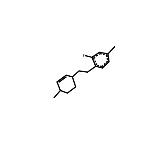 Cc1ccc(CCC2C=CC(C)CC2)c(F)c1